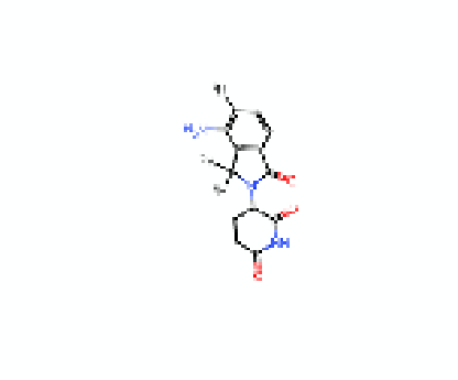 [2H]c1ccc2c(c1N)C([2H])([2H])N(C1CCC(=O)NC1=O)C2=O